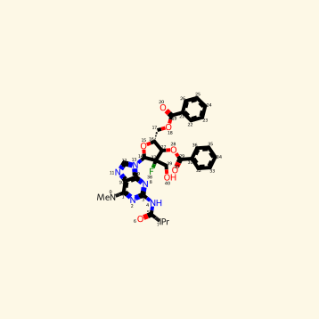 CNc1nc(NC(=O)C(C)C)nc2c1ncn2C1O[C@H](COC(=O)c2ccccc2)C(OC(=O)c2ccccc2)C1(F)CO